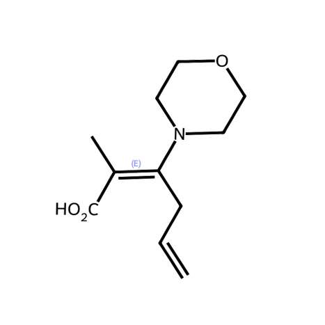 C=CC/C(=C(/C)C(=O)O)N1CCOCC1